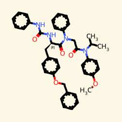 COc1ccc(N(C(=O)CN(C(=O)[C@@H](Cc2ccc(OCc3ccccc3)cc2)NC(=O)Nc2ccccc2)c2ccccc2)C(C)C)cc1